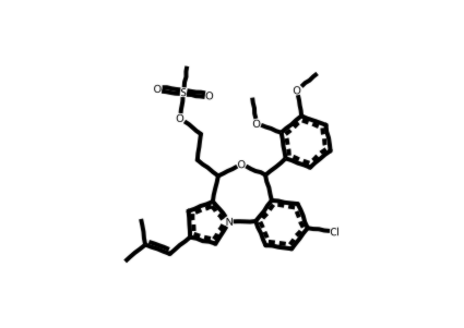 COc1cccc(C2OC(CCOS(C)(=O)=O)c3cc(C=C(C)C)cn3-c3ccc(Cl)cc32)c1OC